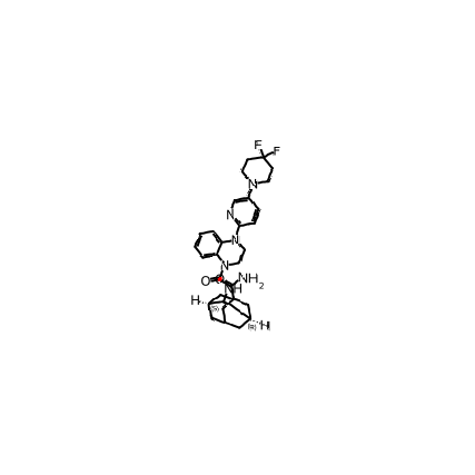 NC(=O)C12CC3C[C@H](C1)C(NC(=O)N1CCN(c4ccc(N5CCC(F)(F)CC5)cn4)c4ccccc41)[C@@H](C3)C2